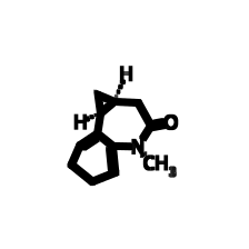 CN1C(=O)C[C@@H]2C[C@@H]2C2=CCCC=C21